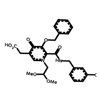 COC(Cn1cc(CC(=O)O)c(=O)c(OCc2ccccc2)c1C(=O)NCc1cccc(Cl)c1)OC